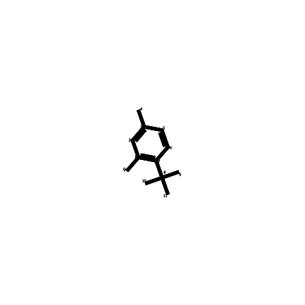 [CH2]c1cc(C)ccc1C(C)(C)C